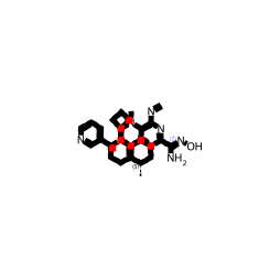 C=Nc1nc(/C(N)=N/O)nc(N[C@H](C)C2CCC2)c1N(C)CN1C2=C(CCC1c1cccnc1)[C@@H](C)CCC2